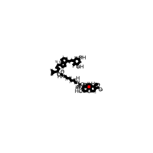 C=C1/C(=C\C=C2/CCC[C@@]3(C)C2CCC3[C@@H](C)/C=C/C(OC(=O)NCCCCCCNC(=O)O[C@H]2[C@]34O[C@H]3C[C@H]3C5=C(CC[C@]3(C)[C@@]43O[C@H]3C[C@@]2(O)C(C)C)C(=O)OC5)C2CC2)C[C@@H](O)C[C@@H]1O